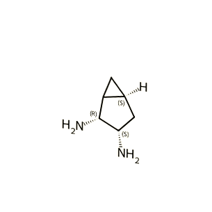 N[C@@H]1C2C[C@H]2C[C@@H]1N